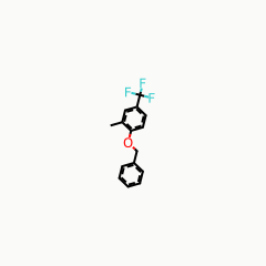 Cc1cc(C(F)(F)F)ccc1OCc1ccccc1